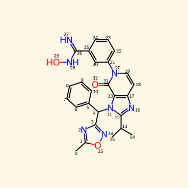 Cc1nc(C(c2ccccc2)n2c(C(C)C)nc3ccn(-c4cccc(C(=N)NO)c4)c(=O)c32)no1